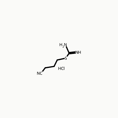 Cl.N#CCCCSC(=N)N